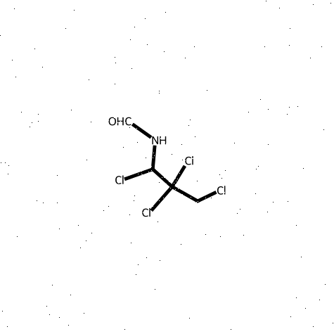 O=CNC(Cl)C(Cl)(Cl)CCl